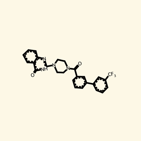 O=C(c1cccc(-c2cccc(C(F)(F)F)c2)c1)N1CCN(c2nc3ccccc3c(=O)[nH]2)CC1